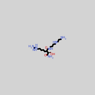 N=C(N)NCCCCCC(C(=O)NCCCCNCCCN)[C@@H](CO)C(N)=O